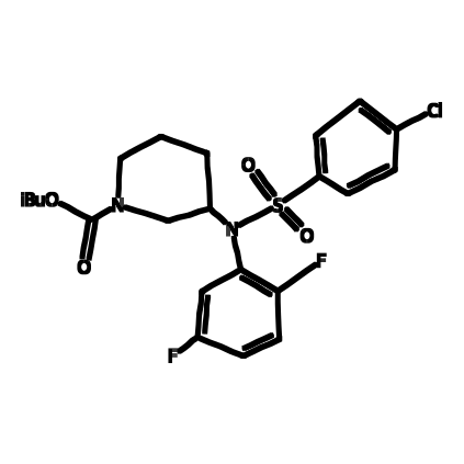 CC(C)COC(=O)N1CCCC(N(c2cc(F)ccc2F)S(=O)(=O)c2ccc(Cl)cc2)C1